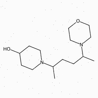 CC(CCC(C)N1CCC(O)CC1)N1CCOCC1